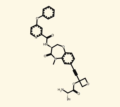 CC(C)[C@H](N)C(=O)OC1(C#Cc2ccc3c(c2)N(C)C(=O)[C@@H](NC(=O)c2cc(Oc4ccccc4)ccn2)CO3)COC1